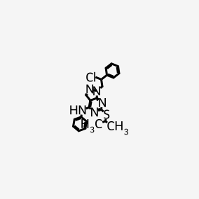 CC(C)Sc1nc(Nc2ccccc2)c2cnn(CC(Cl)c3ccccc3)c2n1